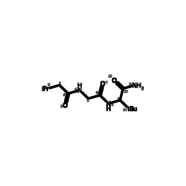 CC(C)CC(=O)NCC(=O)NC(C(N)=O)C(C)(C)C